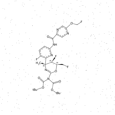 CC(C)(C)OC(=O)N(C(=O)OC(C)(C)C)C1=N[C@](C)(c2nc(NC(=O)c3cnc(OCF)cn3)ccc2F)[C@@H](F)[C@@H](CF)O1